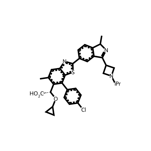 Cc1cc2nc(-c3ccc4c(c3)C(C3CN(C(C)C)C3)=NC4C)sc2c(-c2ccc(Cl)cc2)c1[C@H](OC1CC1)C(=O)O